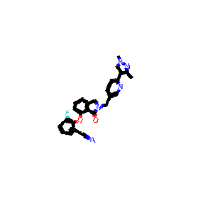 Cc1nn(C)cc1-c1ccc(CN2Cc3cccc(Oc4c(F)cccc4C#N)c3C2=O)cn1